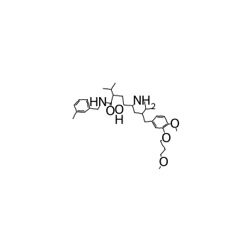 COCCCOc1cc(CC(CC(N)C(O)CC(C(=O)NCc2cccc(C)c2)C(C)C)C(C)C)ccc1OC